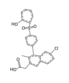 Cc1c(CC(=O)O)cc2ccc(Cl)cc2c1-c1ccc(S(=O)(=O)c2ccccc2O)cc1